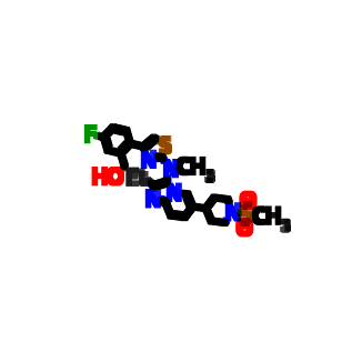 CCc1nc2ccc(C3CCN(S(C)(=O)=O)CC3)cn2c1N(C)c1nc(-c2ccc(F)cc2CO)cs1